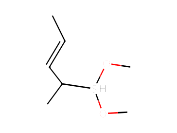 CC=CC(C)[SiH](OC)OC